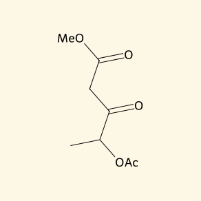 COC(=O)CC(=O)C(C)OC(C)=O